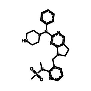 CN(c1ncccc1CN1CCc2cnc(N(c3ccccc3)N3CCNCC3)nc21)S(C)(=O)=O